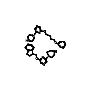 c1ccc(OCCCCOc2cncc(N3CCNCC3)n2)cc1.c1ccc2c(c1)CCC2COc1cncc(N2CCNCC2)n1